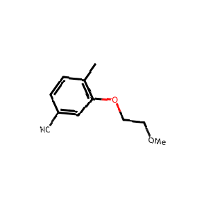 COCCOc1cc(C#N)ccc1C